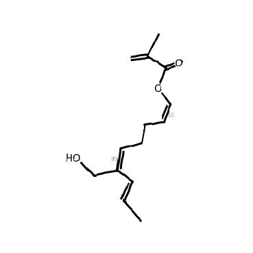 C=C(C)C(=O)O/C=C\CC/C=C(\C=CC)CO